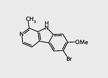 COc1cc2[nH]c3c(C)nccc3c2cc1Br